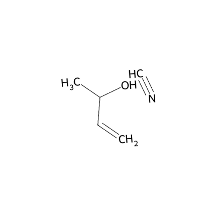 C#N.C=CC(C)O